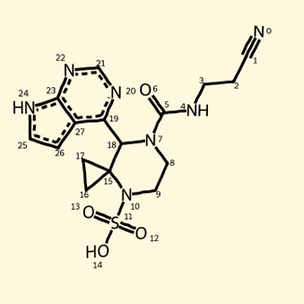 N#CCCNC(=O)N1CCN(S(=O)(=O)O)C2(CC2)C1c1ncnc2[nH]ccc12